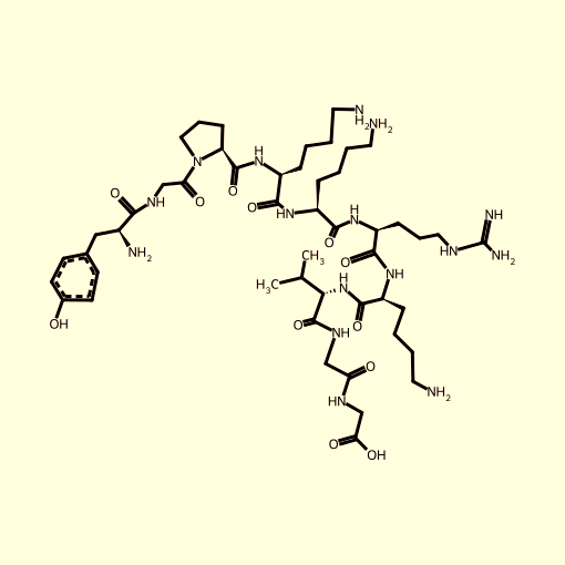 CC(C)[C@H](NC(=O)[C@H](CCCCN)NC(=O)[C@H](CCCNC(=N)N)NC(=O)[C@H](CCCCN)NC(=O)[C@H](CCCCN)NC(=O)[C@@H]1CCCN1C(=O)CNC(=O)[C@@H](N)Cc1ccc(O)cc1)C(=O)NCC(=O)NCC(=O)O